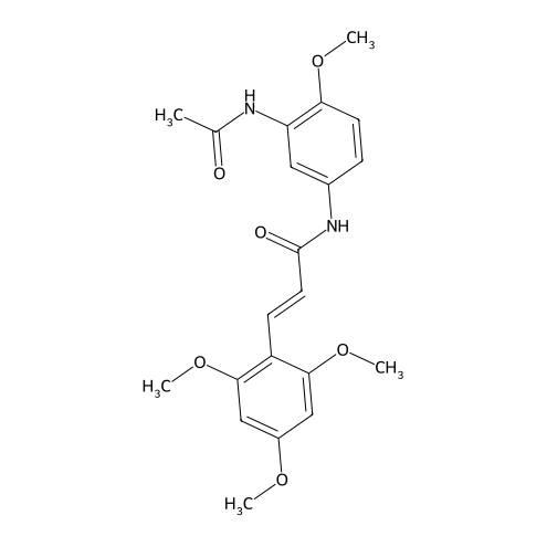 COc1cc(OC)c(/C=C/C(=O)Nc2ccc(OC)c(NC(C)=O)c2)c(OC)c1